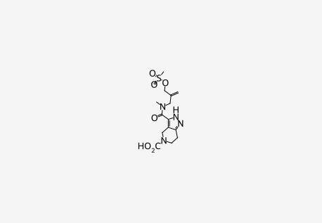 C=C(COS(C)(=O)=O)CN(C)C(=O)c1[nH]nc2c1CN(C(=O)O)CC2